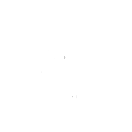 CCCCOC(=O)C(c1ccccc1O)c1ccccc1O